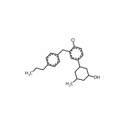 CCCc1ccc(Cc2cc(C3CC(C)CC(O)C3)ccc2Cl)cc1